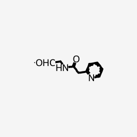 O=[C]CNC(=O)Cc1ccccn1